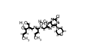 C=C\C(=C/N=C(\C=C\C)N(C)Cc1nc2c(N3CCOCC3)nc(Cl)nc2n1C)C(=O)/C=C/C